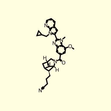 COc1cc(C(=O)N2C[C@H]3CC4[C@H]3[C@H]2[C@H]4CCCC#N)cc2nc(-c3cc4cccnc4n3CC3CC3)n(C)c12